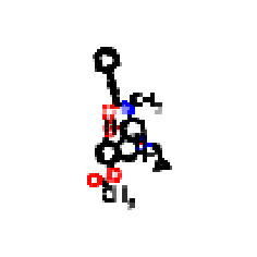 CC(=O)Oc1ccc2c3c1C[C@@H]1[C@@H]4CC[C@H](N(C)C(=O)C#Cc5ccccc5)[C@H](O2)[C@]34CCN1CC1CC1